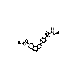 CC(C)(C)OC(=O)N1CCc2ccc(Cl)c(CSc3ccc(-c4csc(NCC5CC5)n4)cn3)c2CC1